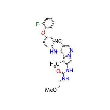 COCCNC(=O)Nc1cn2ncc(C#N)c(Nc3ccc(Oc4ccccc4F)cc3)c2c1C